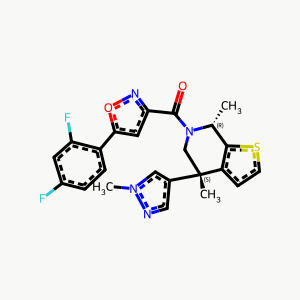 C[C@@H]1c2sccc2[C@](C)(c2cnn(C)c2)CN1C(=O)c1cc(-c2ccc(F)cc2F)on1